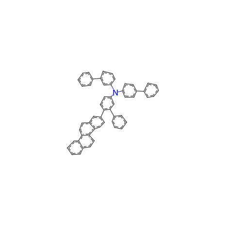 c1ccc(-c2ccc(N(c3cccc(-c4ccccc4)c3)c3ccc(-c4ccc5c(ccc6c7ccccc7ccc56)c4)c(-c4ccccc4)c3)cc2)cc1